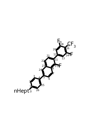 CCCCCCCc1ccc(-c2ccc3c(F)c(-c4cc(F)c(C(F)(F)F)c(F)c4)ccc3c2)cc1